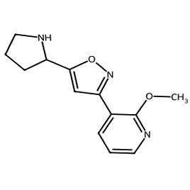 COc1ncccc1-c1cc(C2CCCN2)on1